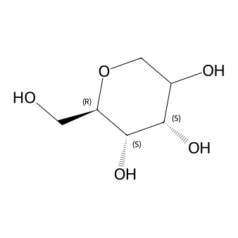 OC[C@H]1OCC(O)[C@H](O)[C@@H]1O